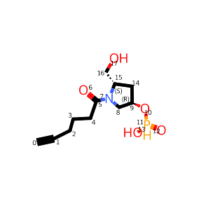 C#CCCCC(=O)N1C[C@H](O[PH](=O)O)C[C@H]1CO